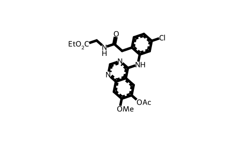 CCOC(=O)CNC(=O)Cc1ccc(Cl)cc1Nc1ncnc2cc(OC)c(OC(C)=O)cc12